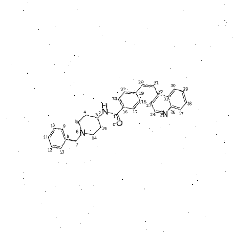 O=C(NC1CCN(Cc2ccccc2)CC1)c1ccc(/C=C\c2ccnc3ccccc23)cc1